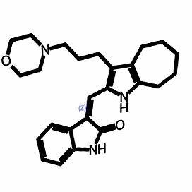 O=C1Nc2ccccc2/C1=C/c1[nH]c2c(c1CCCN1CCOCC1)CCCCC2